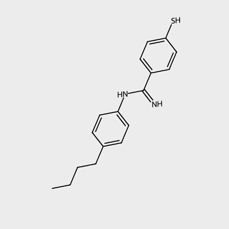 CCCCc1ccc(NC(=N)c2ccc(S)cc2)cc1